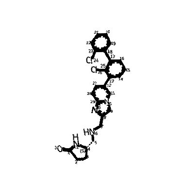 O=C1CC[C@@H](CNCc2cn3cc(-c4cccc(-c5ccccc5Cl)c4Cl)ccc3n2)N1